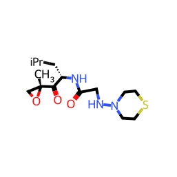 CC(C)C[C@H](NC(=O)CNN1CCSCC1)C(=O)[C@@]1(C)CO1